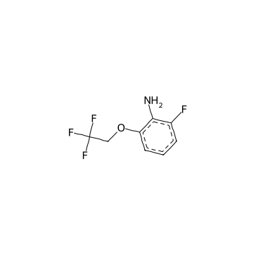 Nc1c(F)cccc1OCC(F)(F)F